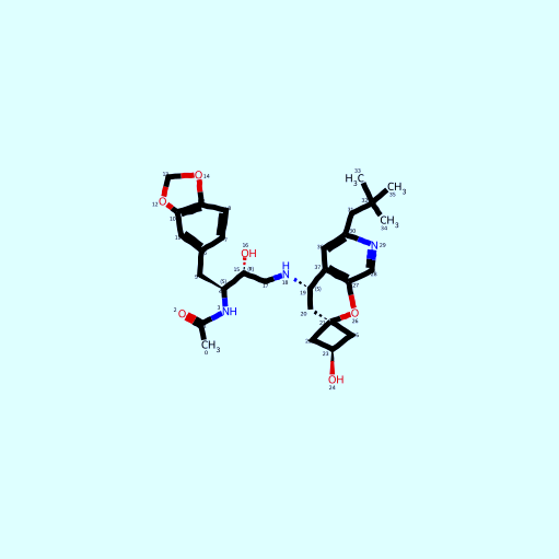 CC(=O)N[C@@H](Cc1ccc2c(c1)OCO2)[C@H](O)CN[C@H]1C[C@]2(C[C@H](O)C2)Oc2cnc(CC(C)(C)C)cc21